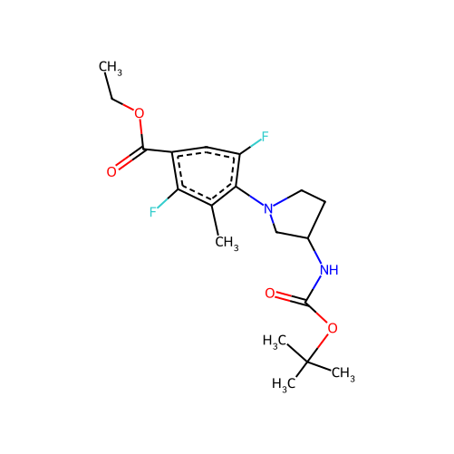 CCOC(=O)c1cc(F)c(N2CCC(NC(=O)OC(C)(C)C)C2)c(C)c1F